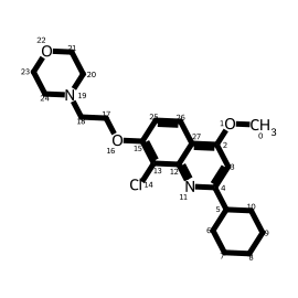 COc1cc(C2CCCCC2)nc2c(Cl)c(OCCN3CCOCC3)ccc12